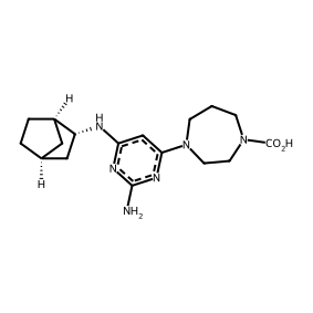 Nc1nc(N[C@@H]2C[C@H]3CC[C@@H]2C3)cc(N2CCCN(C(=O)O)CC2)n1